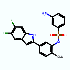 COc1ccc(-c2cc3cc(F)c(F)cc3[nH]2)cc1NS(=O)(=O)c1cccc(N)c1